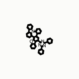 c1ccc(-c2nc(-c3ccccc3)nc(-c3cc4c(c5oc6ccccc6c35)-c3cccc5c6ccccc6n(c35)-c3ccccc3-4)n2)cc1